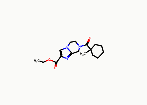 CCOC(=O)c1cn2c(n1)CN(C(=O)C1(C)CCCCC1)CC2